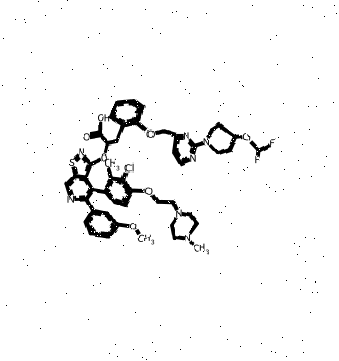 COc1cccc(-c2ncc3snc(OC(Cc4ccccc4OCc4ccnc(N5CCC(OC(F)F)CC5)n4)C(=O)O)c3c2-c2ccc(OCCN3CCN(C)CC3)c(Cl)c2C)c1